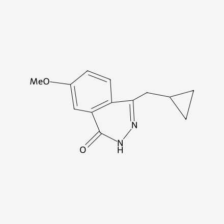 COc1ccc2c(CC3CC3)n[nH]c(=O)c2c1